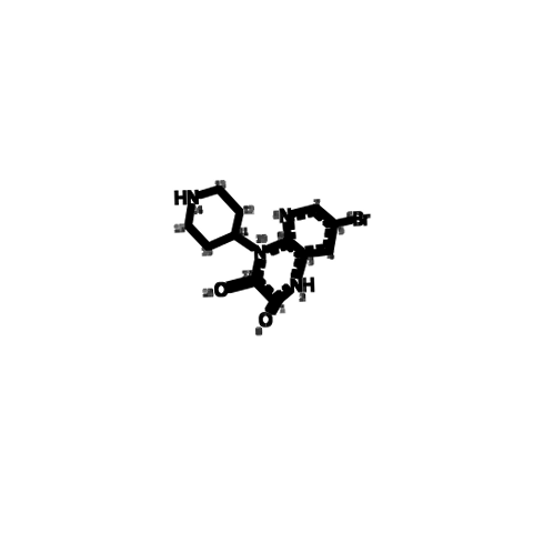 O=c1[nH]c2cc(Br)cnc2n(C2CCNCC2)c1=O